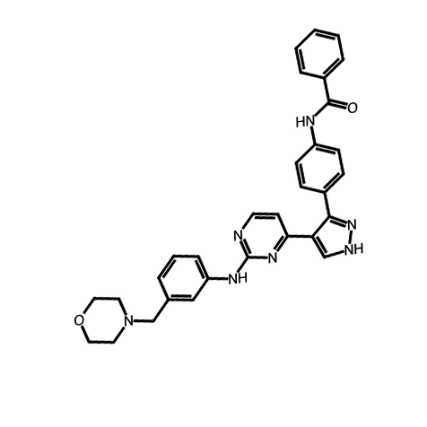 O=C(Nc1ccc(-c2n[nH]cc2-c2ccnc(Nc3cccc(CN4CCOCC4)c3)n2)cc1)c1ccccc1